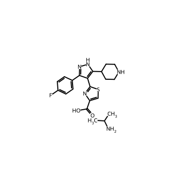 CC(C)N.O=C(O)c1csc(-c2c(-c3ccc(F)cc3)n[nH]c2C2CCNCC2)n1